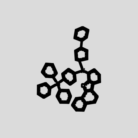 c1ccc(-c2ccc(N(c3ccc([Si](c4ccccc4)(c4ccccc4)c4ccccc4)cc3)c3cccc4c3oc3c5ccccc5ccc43)cc2)cc1